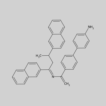 C=C(/N=C(\CC(C)c1ccc2ccccc2c1)c1ccc2ccccc2c1)c1ccc(-c2ccc(N)cc2)cc1